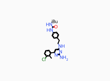 CCC(C)NC(=O)Nc1ccc(CCNc2cc(-c3cccc(Cl)c3C)nc(N)n2)cc1